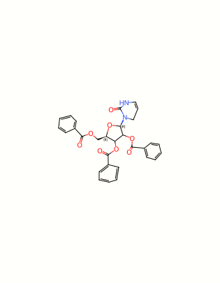 O=C(OC[C@H]1O[C@@H](N2CC=CNC2=O)C(OC(=O)c2ccccc2)C1OC(=O)c1ccccc1)c1ccccc1